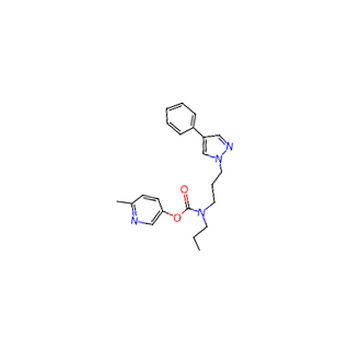 CCCN(CCCn1cc(-c2ccccc2)cn1)C(=O)Oc1ccc(C)nc1